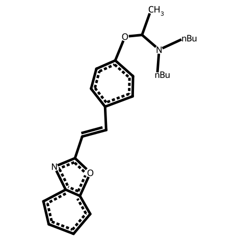 CCCCN(CCCC)C(C)Oc1ccc(/C=C/c2nc3ccccc3o2)cc1